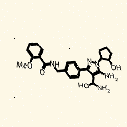 COc1ccccc1C(=O)NCc1ccc(-c2nn(C3CCCC3O)c(N)c2C(N)O)cc1